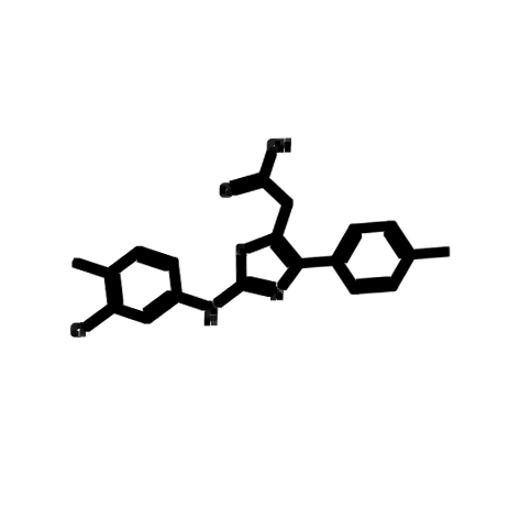 Cc1ccc(-c2nc(Nc3ccc(C)c(Cl)c3)sc2CC(=O)O)cc1